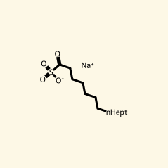 CCCCCCCCCCCCCC(=O)S(=O)(=O)[O-].[Na+]